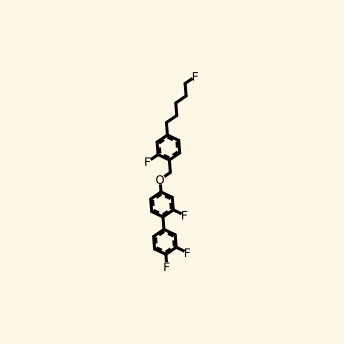 FCCCCCc1ccc(COc2ccc(-c3ccc(F)c(F)c3)c(F)c2)c(F)c1